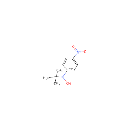 CC(C)(C)N(O)c1ccc([N+](=O)[O-])cc1